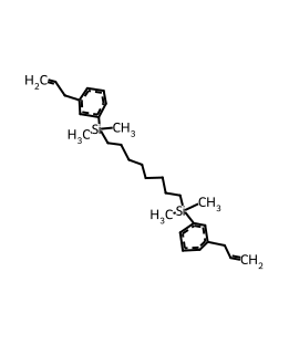 C=CCc1cccc([Si](C)(C)CCCCCCCC[Si](C)(C)c2cccc(CC=C)c2)c1